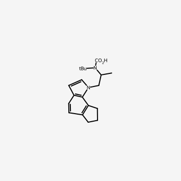 CC(Cn1ccc2ccc3c(c21)CCC3)N(C(=O)O)C(C)(C)C